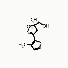 Cc1ccsc1C1=NO[C@@](C)(CO)C1